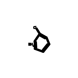 B.Clc1ccccc1